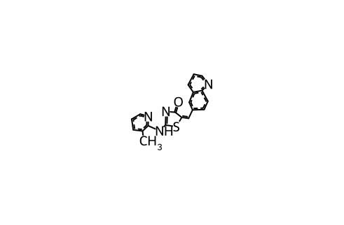 Cc1cccnc1NC1=NC(=O)C(=Cc2ccc3ncccc3c2)S1